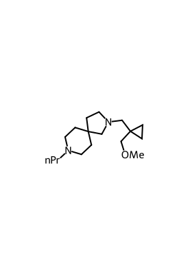 CCCN1CCC2(CC1)CCN(CC1(COC)CC1)C2